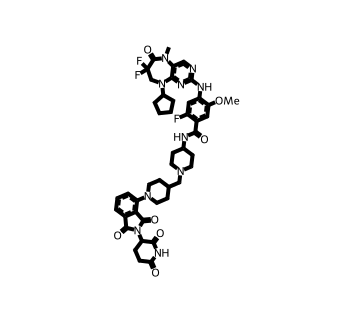 COc1cc(C(=O)NC2CCN(CC3CCN(c4cccc5c4C(=O)N(C4CCC(=O)NC4=O)C5=O)CC3)CC2)c(F)cc1Nc1ncc2c(n1)N(C1CCCC1)CC(F)(F)C(=O)N2C